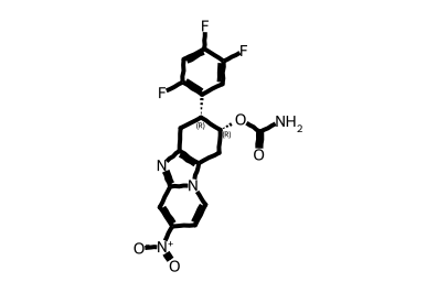 NC(=O)O[C@@H]1Cc2c(nc3cc([N+](=O)[O-])ccn23)C[C@@H]1c1cc(F)c(F)cc1F